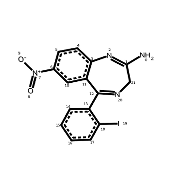 NC1=Nc2ccc([N+](=O)[O-])cc2C(c2ccccc2I)=NC1